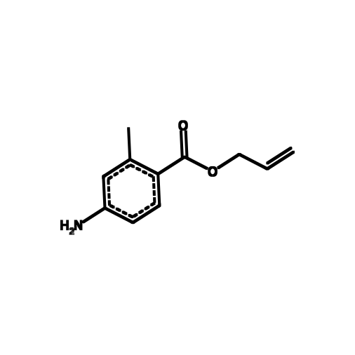 C=CCOC(=O)c1ccc(N)cc1C